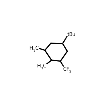 CC1CC(C(C)(C)C)CC(C(F)(F)F)C1C